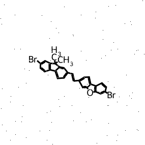 CC1(C)c2cc(Br)ccc2-c2ccc(/C=C/c3ccc4c(c3)oc3cc(Br)ccc34)cc21